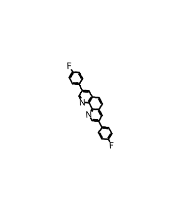 Fc1ccc(-c2cnc3c(ccc4cc(-c5ccc(F)cc5)cnc43)c2)cc1